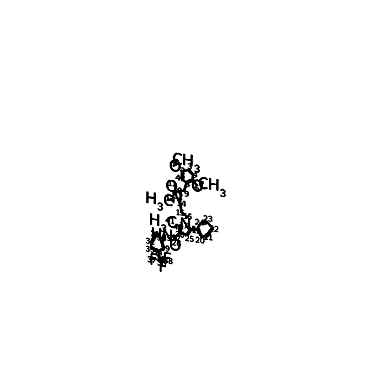 COc1ccc(OC)c(CC(=O)N(C)CCCn2c(-c3ccccc3)cc(C(=O)Nc3cccc(C(F)(F)F)c3)c2C)c1